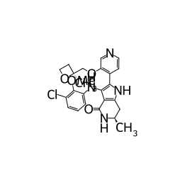 COc1c(Cl)cccc1Nc1c(-c2ccncc2OC[C@]2(C)CCO2)[nH]c2c1C(=O)N[C@H](C)C2